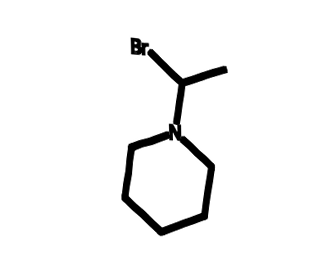 CC(Br)N1CCCCC1